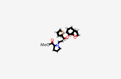 COC(=O)C1CCCN1CC[C@H](Oc1cccc2ccoc12)c1cccs1